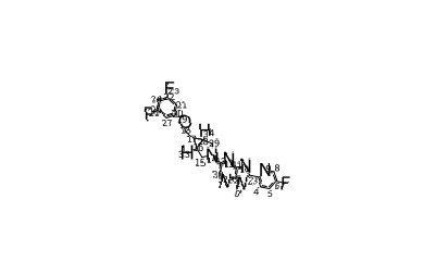 Cn1c(-c2ccc(F)cn2)nc2nc(N3C[C@@H]4C(COc5cc(F)cc(F)c5)[C@@H]4C3)cnc21